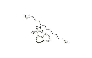 CCCCCCCCCCC[CH2][Na].O=S(=O)(O)c1cccc2ccccc12